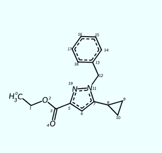 CCOC(=O)c1cc(C2CC2)n(Cc2ccccc2)n1